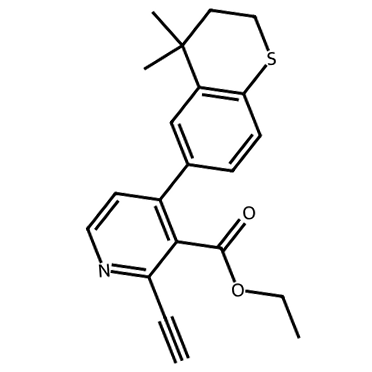 C#Cc1nccc(-c2ccc3c(c2)C(C)(C)CCS3)c1C(=O)OCC